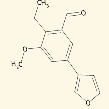 CCc1c(C=O)cc(-c2ccoc2)cc1OC